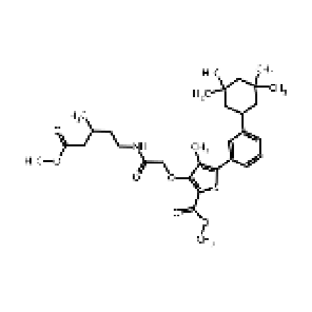 COC(=O)CC(C)CCNC(=O)COc1c(C(=O)OC)sc(-c2cccc(C3CC(C)(C)CC(C)(C)C3)c2)c1C